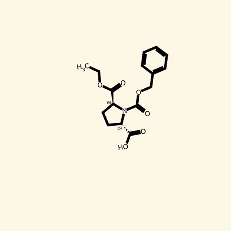 CCOC(=O)[C@@H]1CC[C@@H](C(=O)O)N1C(=O)OCc1ccccc1